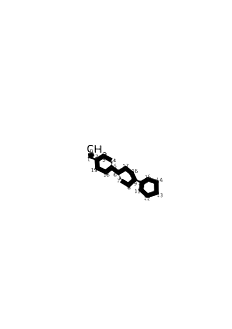 C=C[C@H]1CC[C@H]([C@H]2CC[C@H](C3CC[CH]CC3)CC2)CC1